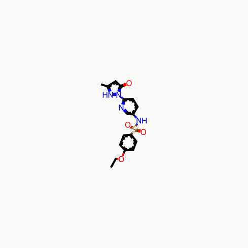 CCOc1ccc(S(=O)(=O)Nc2ccc(-n3[nH]c(C)cc3=O)nc2)cc1